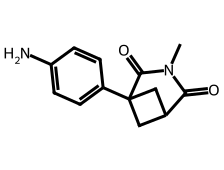 CN1C(=O)C2CC(c3ccc(N)cc3)(C2)C1=O